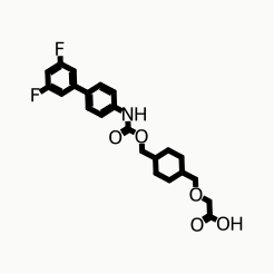 O=C(O)COCC1CCC(COC(=O)Nc2ccc(-c3cc(F)cc(F)c3)cc2)CC1